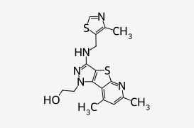 Cc1cc(C)c2c(n1)sc1c(NCc3scnc3C)nn(CCO)c12